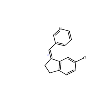 Clc1ccc2c(c1)/C(=C\c1cccnc1)CC2